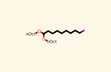 CCCCCCCCOC(CCCCCCCCI)OCCCCCCCC